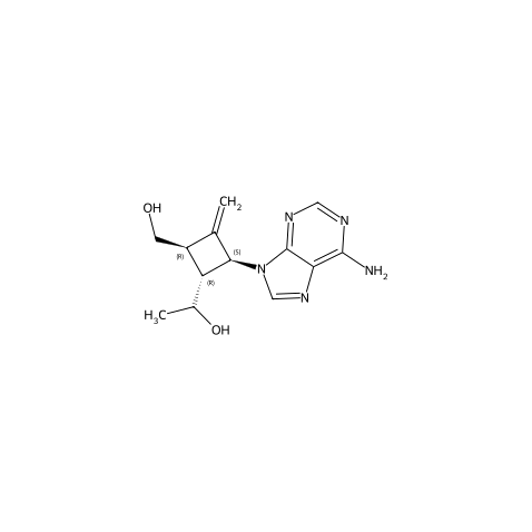 C=C1[C@@H](n2cnc3c(N)ncnc32)[C@H](C(C)O)[C@H]1CO